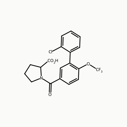 O=C(O)C1CCCN1C(=O)c1ccc(OC(F)(F)F)c(-c2ccccc2Cl)c1